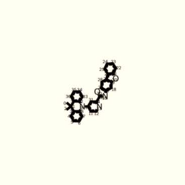 CC1(C)c2ccccc2N(c2ccnc(-c3nc4cc5oc6ccccc6c5cc4o3)c2)c2ccccc21